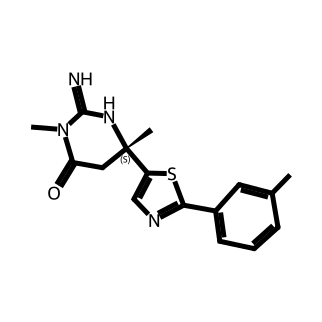 Cc1cccc(-c2ncc([C@]3(C)CC(=O)N(C)C(=N)N3)s2)c1